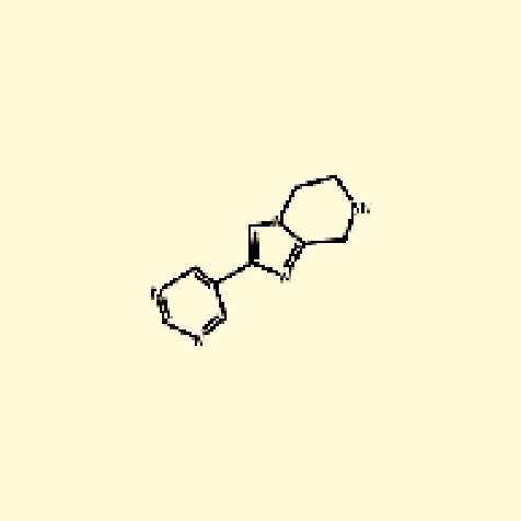 c1ncc(-c2cn3c(n2)CNCC3)cn1